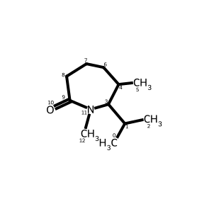 CC(C)C1C(C)CCCC(=O)N1C